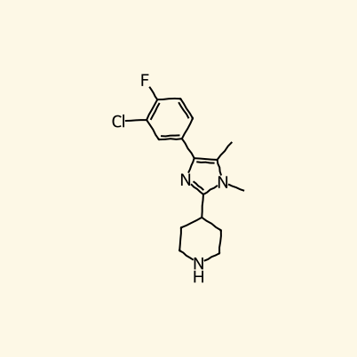 Cc1c(-c2ccc(F)c(Cl)c2)nc(C2CCNCC2)n1C